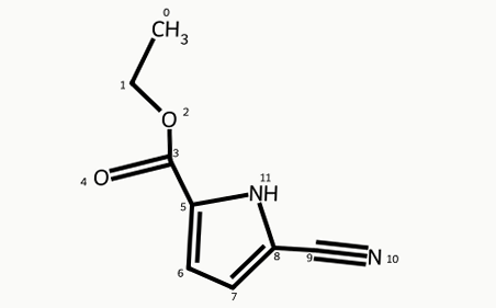 CCOC(=O)c1ccc(C#N)[nH]1